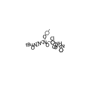 Cn1cc(C(=O)Nc2cc(Cl)c(CC(=O)N3C[C@@H](N4CCN(C(=O)C(C)(C)C)CC4)C[C@H]3CO[C@H]3CC[C@H](C)CC3)cc2Cl)c2ccccc21